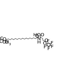 CC(C)(C)OC(=O)CCCCCCCCCCCCCCCCC(=O)NC(CCC(=O)Oc1c(F)c(F)c(F)c(F)c1F)C(=O)O